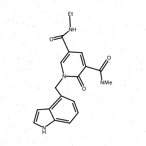 CCNC(=O)c1cc(C(=O)NC)c(=O)n(Cc2cccc3[nH]ccc23)c1